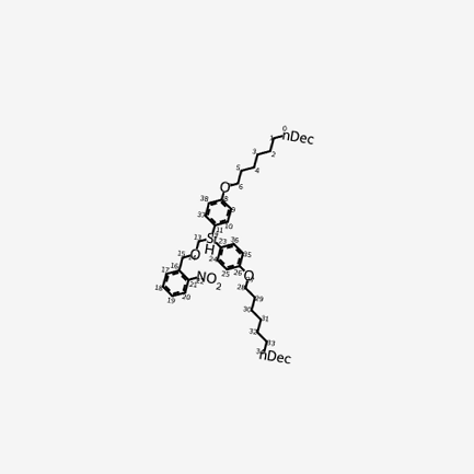 CCCCCCCCCCCCCCCCOc1ccc([SiH](COCc2ccccc2[N+](=O)[O-])c2ccc(OCCCCCCCCCCCCCCCC)cc2)cc1